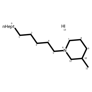 CCCCCCCCCCCCN1CCCC(C)C1.I